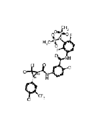 CS(=O)(=O)N(c1c(F)ccc(NC(=O)c2cc(NC(=O)[C@H]3[C@H](c4ccc(Cl)c(C(F)(F)F)c4)C3(Cl)Cl)ccc2Cl)c1F)S(C)(=O)=O